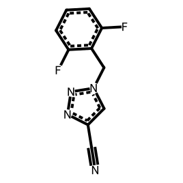 N#Cc1cn(Cc2c(F)cccc2F)nn1